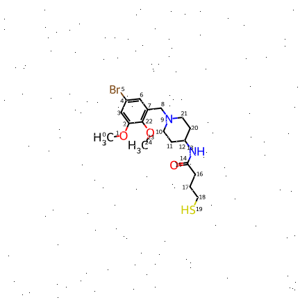 COc1cc(Br)cc(CN2CCC(NC(=O)CCCS)CC2)c1OC